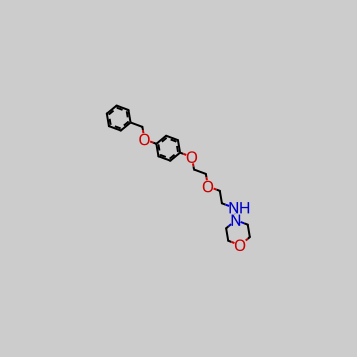 c1ccc(COc2ccc(OCCOCCNN3CCOCC3)cc2)cc1